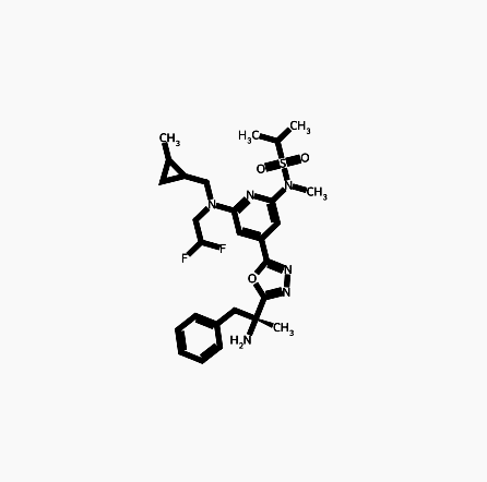 CC1CC1CN(CC(F)F)c1cc(-c2nnc([C@](C)(N)Cc3ccccc3)o2)cc(N(C)S(=O)(=O)C(C)C)n1